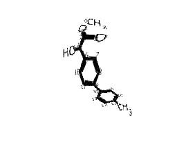 COC(=O)C(O)c1ccc(-c2ccc(C)cc2)cc1